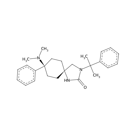 CN(C)[C@]1(c2ccccc2)CC[C@@]2(CC1)CN(C(C)(C)c1ccccc1)C(=O)N2